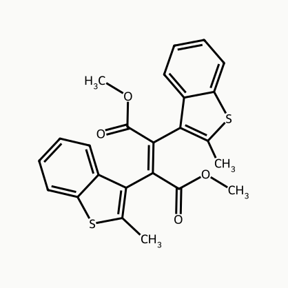 COC(=O)C(=C(C(=O)OC)c1c(C)sc2ccccc12)c1c(C)sc2ccccc12